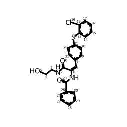 O=C(NCCO)/C(=C\c1ccc(Sc2ccccc2Cl)cc1)NC(=O)c1ccccc1